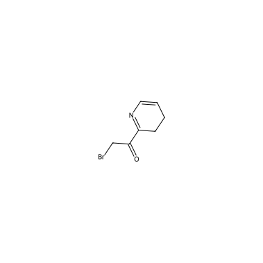 O=C(CBr)C1=NC=CCC1